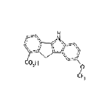 O=C(O)c1cccc2c1Cc1c-2[nH]c2ccc(OC(F)(F)F)cc12